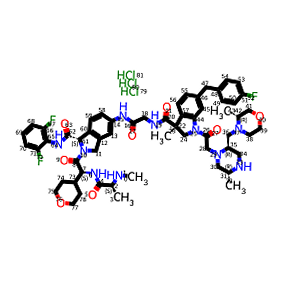 CN[C@@H](C)C(=O)N[C@H](C(=O)N1Cc2cc(NC(=O)CNC(=O)[C@]3(C)CN(C(=O)CN4C[C@@H](C)NC[C@@H]4CN4CCOC[C@H]4C)c4cc(Cc5ccc(F)cc5)ccc43)ccc2[C@H]1C(=O)Nc1c(F)cccc1F)C1CCOCC1.Cl.Cl.Cl